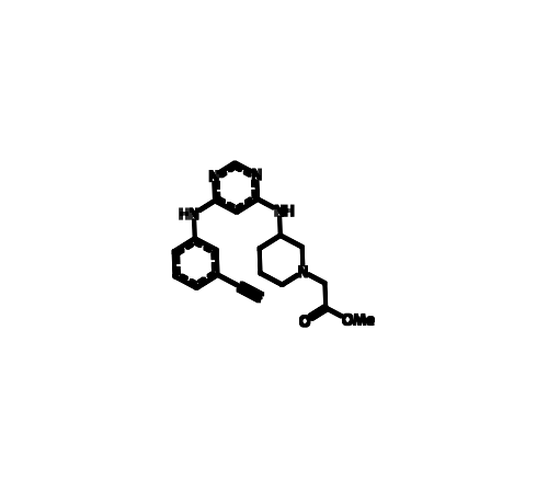 C#Cc1cccc(Nc2cc(NC3CCCN(CC(=O)OC)C3)ncn2)c1